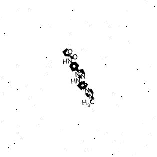 CCN1CCN(c2ccc(Nc3nccc(-c4ccc(NC(=O)[C@H]5CCCO5)cc4)n3)cc2)CC1